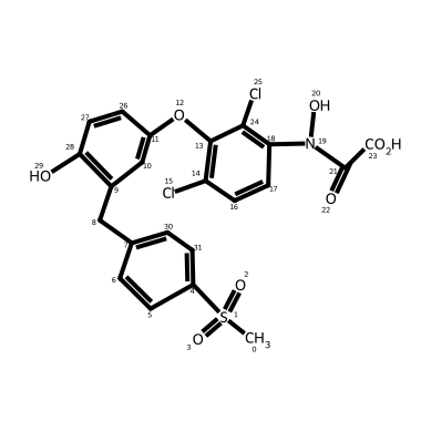 CS(=O)(=O)c1ccc(Cc2cc(Oc3c(Cl)ccc(N(O)C(=O)C(=O)O)c3Cl)ccc2O)cc1